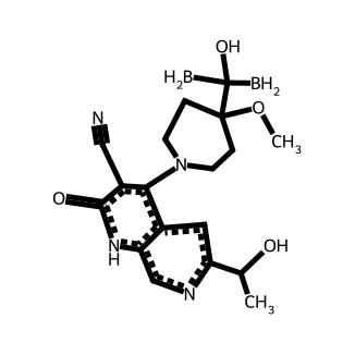 BC(B)(O)C1(OC)CCN(c2c(C#N)c(=O)[nH]c3cnc(C(C)O)cc23)CC1